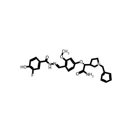 COc1cc(O[C@H](C(N)=O)C2CCN(Cc3ccccc3)C2)ccc1C=NNC(=O)c1ccc(O)c(F)c1